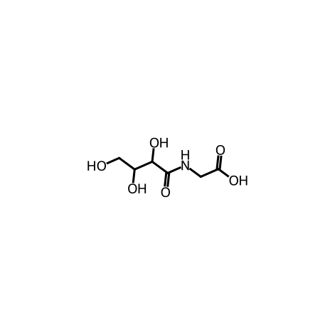 O=C(O)CNC(=O)C(O)C(O)CO